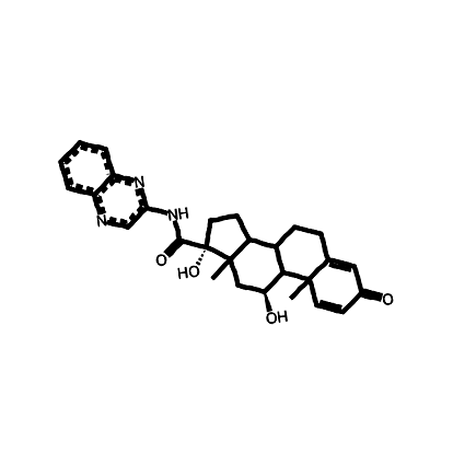 CC12C=CC(=O)C=C1CCC1C2[C@@H](O)CC2(C)C1CC[C@]2(O)C(=O)Nc1cnc2ccccc2n1